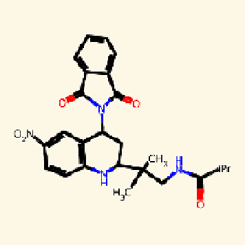 CC(C)C(=O)NCC(C)(C)C1CC(N2C(=O)c3ccccc3C2=O)c2cc([N+](=O)[O-])ccc2N1